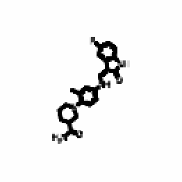 Cc1cc(NC=C2C(=O)Nc3ccc(F)cc32)ccc1N1CCCC(C(N)=O)C1